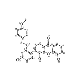 COc1ccc(COc2cc(Cl)cnc2N2CCc3c(oc4c(Cl)cccc4c3=O)C2=O)cc1